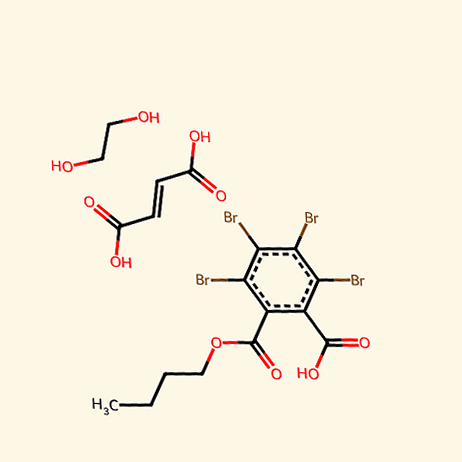 CCCCOC(=O)c1c(Br)c(Br)c(Br)c(Br)c1C(=O)O.O=C(O)C=CC(=O)O.OCCO